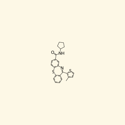 Cc1ccsc1C1=Nc2cc(C(=O)NC3CCCC3)ccc2Sc2ccccc21